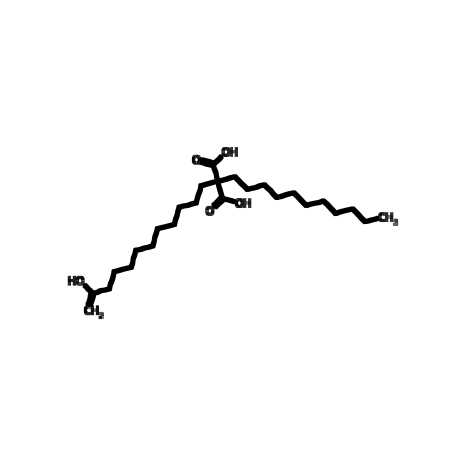 C=C(O)CCCCCCCCCCC(CCCCCCCCCCC)(C(=O)O)C(=O)O